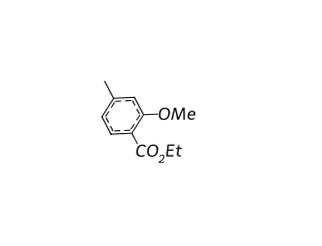 CCOC(=O)c1ccc(C)cc1OC